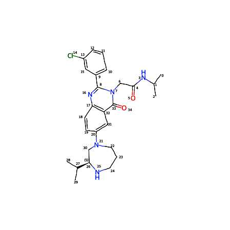 CC(C)NC(=O)Cn1c(-c2cccc(Cl)c2)nc2ccc(N3CCCN[C@@H](C(C)C)C3)cc2c1=O